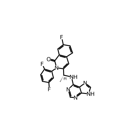 C[C@@H](Nc1ncnc2[nH]cnc12)c1cc2ccc(F)cc2c(=O)n1-c1cc(F)ccc1F